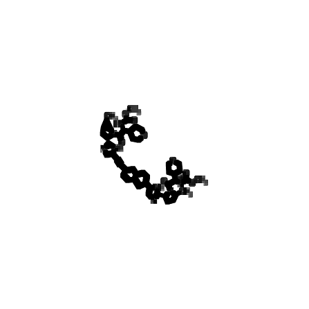 COC(=O)NC(C(=O)N1[C@@H](C)CC[C@H]1c1ncc(-c2ccc3cc(C#Cc4cnc([C@@H]5CC6C(C)C6N5C(=O)[C@@H](NC(=O)OC)C5CCOCC5)[nH]4)ccc3c2)[nH]1)C1CCOCC1